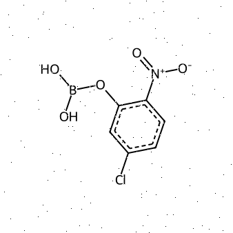 O=[N+]([O-])c1ccc(Cl)cc1OB(O)O